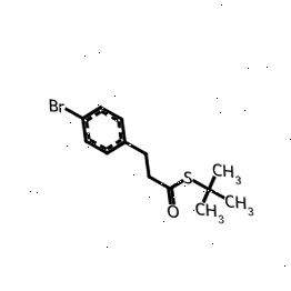 CC(C)(C)SC(=O)CCc1ccc(Br)cc1